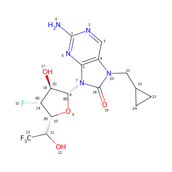 Nc1ncc2c(n1)n([C@@H]1O[C@H](C(O)C(F)(F)F)[C@H](F)[C@H]1O)c(=O)n2CC1CC1